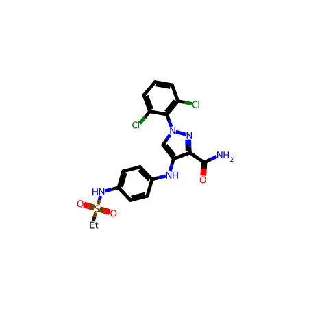 CCS(=O)(=O)Nc1ccc(Nc2cn(-c3c(Cl)cccc3Cl)nc2C(N)=O)cc1